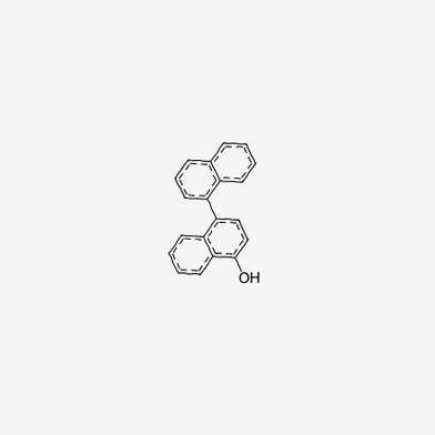 Oc1ccc(-c2cccc3ccccc23)c2ccccc12